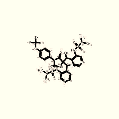 CC(c1ccncc1NS(=O)(=O)N(C)C)C1(C(C)c2ccncc2NS(=O)(=O)N(C)C)NC(=O)N(c2ccc(OC(F)(F)F)cc2)C1=O